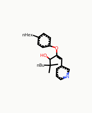 CCCCCCc1ccc(OC(=Cc2cccnc2)C(O)C(C)(C)CCCC)cc1